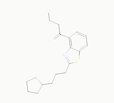 C=C(CCC)c1cccc2sc(CCCC3CCCC3)nc12